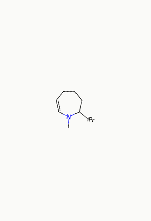 CC(C)C1CCCC=CN1C